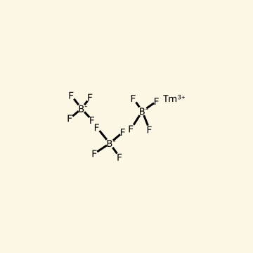 F[B-](F)(F)F.F[B-](F)(F)F.F[B-](F)(F)F.[Tm+3]